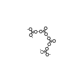 Cc1cccc(N(C2=CC(C)CC=C2)c2ccc(-c3ccc(N(c4ccccc4)c4ccc(-c5ccc(N(c6ccccc6)c6ccc(-c7ccc(N(c8cccc(C)c8)c8cccc(C)c8)cc7)cc6)cc5)cc4)cc3)cc2)c1